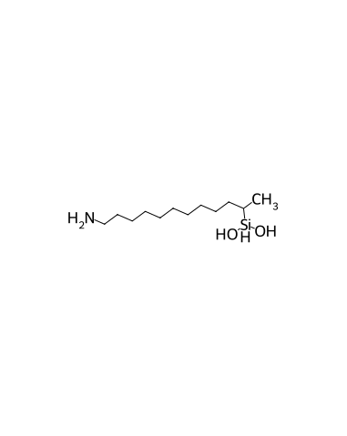 CC(CCCCCCCCCCN)[SiH](O)O